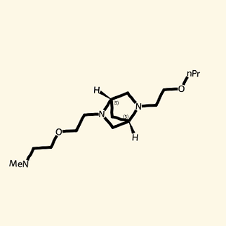 CCCOCCN1C[C@@H]2C[C@H]1CN2CCOCCNC